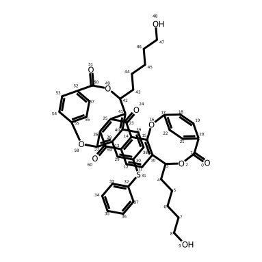 O=C1OC(CCCCCO)c2ccc3c(c2Oc2ccc1cc2)C(=O)c1c(c2c4cc(Sc5ccccc5)ccc4c1C(CCCCCO)OC(=O)c1ccc(cc1)O2)C3=O